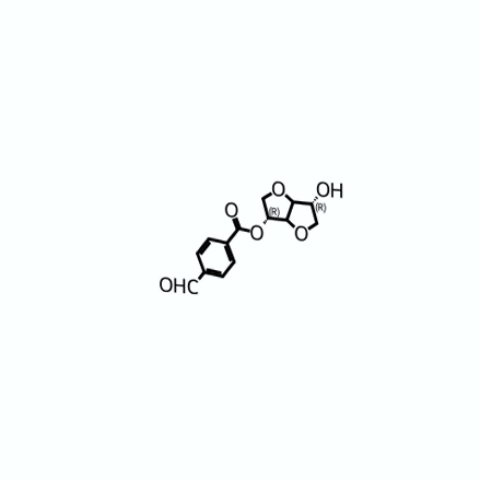 O=Cc1ccc(C(=O)O[C@@H]2COC3C2OC[C@H]3O)cc1